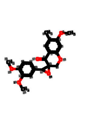 COc1cc2c(cc1C)C(=O)C1(CO2)OC1c1ccc(OC)c(OC)c1